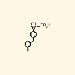 O=C(O)CC1CCCN1c1ccc(Cc2cccc(F)c2)cc1